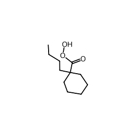 CCCCC1(C(=O)OO)CCCCC1